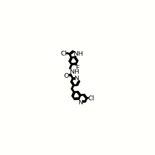 O=C(NCc1cc2c(Cl)c[nH]c2cc1F)c1cc(Cc2ccc3ncc(Cl)cc3c2)ccn1